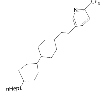 CCCCCCCC1CCC(C2CCC(CCc3ccc(C(F)(F)F)nc3)CC2)CC1